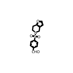 O=Cc1ccc(S(=O)(=O)N2CCc3occc3C2)cc1